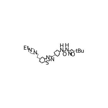 CCN1CCN(CCc2ccc3sc4nc(-c5ccc(NC(=O)Nc6cc(C(C)(C)C)on6)cc5)cn4c3c2)CC1